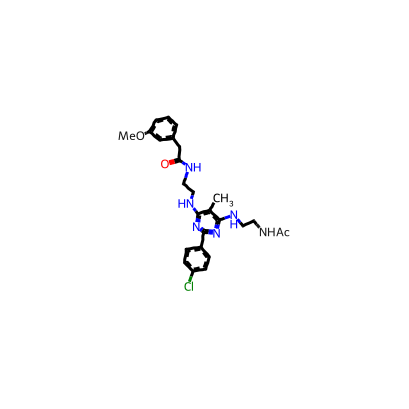 COc1cccc(CC(=O)NCCNc2nc(-c3ccc(Cl)cc3)nc(NCCNC(C)=O)c2C)c1